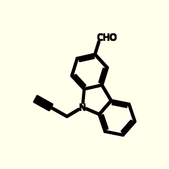 C#CCn1c2ccccc2c2cc(C=O)ccc21